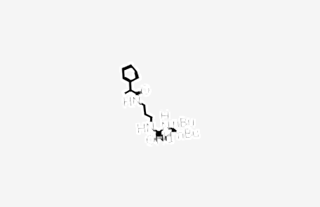 CCCCC(C=O)(CCCC)NC(=N)NCCCNC(=O)C(C)c1ccccc1